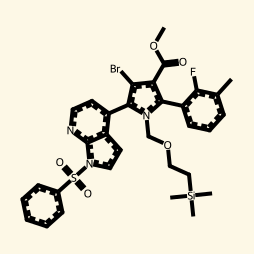 COC(=O)c1c(Br)c(-c2ccnc3c2ccn3S(=O)(=O)c2ccccc2)n(COCC[Si](C)(C)C)c1-c1cccc(C)c1F